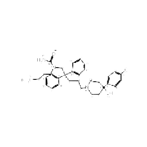 CCOC(=O)CCCN(CC(CCCN1CCC(O)(c2ccc(Cl)cc2)CC1)(c1ccccc1)c1ccccc1)C(N)=O